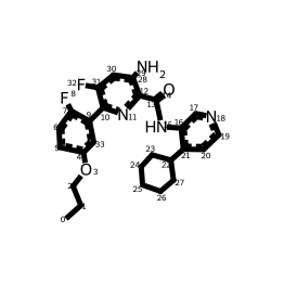 CCCOc1ccc(F)c(-c2nc(C(=O)Nc3cnccc3C3CCCCC3)c(N)cc2F)c1